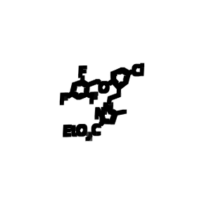 CCOC(=O)c1cc(C)n(CCc2cc(Cl)ccc2OCc2c(F)cc(F)cc2F)n1